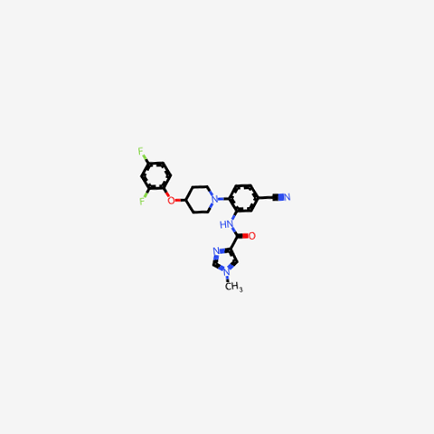 Cn1cnc(C(=O)Nc2cc(C#N)ccc2N2CCC(Oc3ccc(F)cc3F)CC2)c1